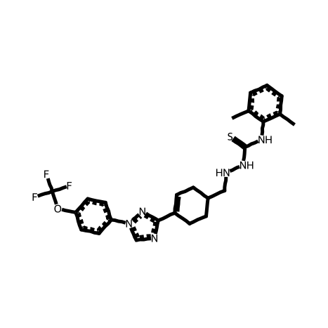 Cc1cccc(C)c1NC(=S)NNCC1CC=C(c2ncn(-c3ccc(OC(F)(F)F)cc3)n2)CC1